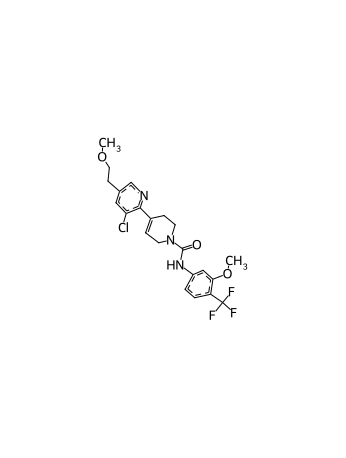 COCCc1cnc(C2=CCN(C(=O)Nc3ccc(C(F)(F)F)c(OC)c3)CC2)c(Cl)c1